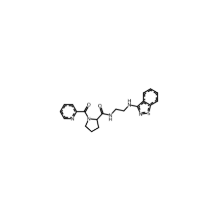 O=C(NCCNc1nsc2ccccc12)C1CCCN1C(=O)c1ccccn1